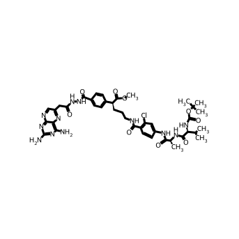 COC(=O)[C@@H](CCCNC(=O)c1ccc(NC(=O)[C@H](C)NC(=O)[C@@H](NC(=O)OC(C)(C)C)C(C)C)cc1Cl)c1ccc(C(=O)NNC(=O)Cc2cnc3nc(N)nc(N)c3n2)cc1